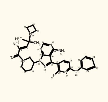 CC(C)(C=C(C#N)C(=O)N1CCCC(n2nc(-c3ccc(Oc4ccccc4)nc3F)c3c(N)ncnc32)C1)N1CCC1